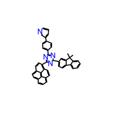 CC1(C)c2ccccc2-c2ccc(-c3nc(-c4ccc(-c5cccnc5)cc4)nc(-c4ccc5ccc6cccc7ccc4c5c67)n3)cc21